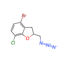 [N-]=[N+]=NCC1Cc2c(Br)ccc(Cl)c2O1